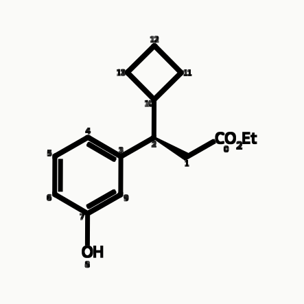 CCOC(=O)C[C@@H](c1cccc(O)c1)C1CCC1